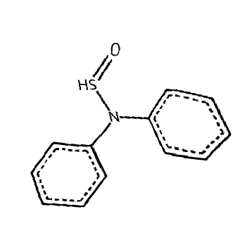 O=[SH]N(c1ccccc1)c1ccccc1